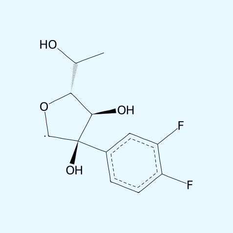 CC(O)[C@H]1O[CH][C@@](O)(c2ccc(F)c(F)c2)[C@@H]1O